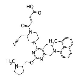 Cc1cccc2cccc(N3CCc4c(nc(OC[C@@H]5CCCN5C)nc4N4CCN(C(=O)/C=C/C(=O)O)[C@@H](CC#N)C4)C3)c12